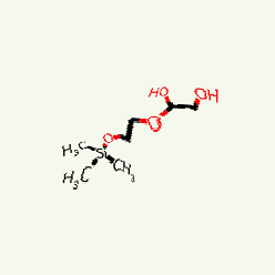 C[Si](C)(C)OCCOC(O)CO